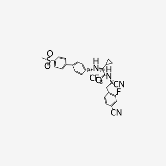 CS(=O)(=O)c1ccc(-c2ccc([C@H](N[C@H](C(=O)N[C@H](C#N)Cc3ccc(C#N)cc3F)C3CC3)C(F)(F)F)cc2)cc1